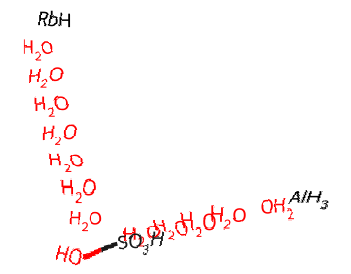 O.O.O.O.O.O.O.O.O.O.O.O.O=S(=O)(O)O.[AlH3].[RbH]